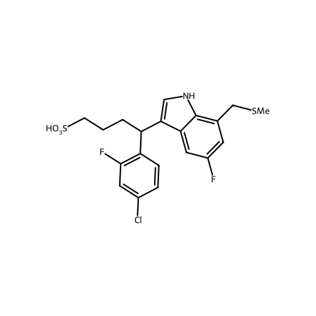 CSCc1cc(F)cc2c(C(CCCS(=O)(=O)O)c3ccc(Cl)cc3F)c[nH]c12